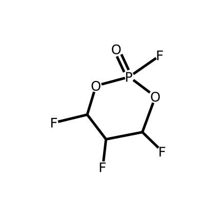 O=P1(F)OC(F)C(F)C(F)O1